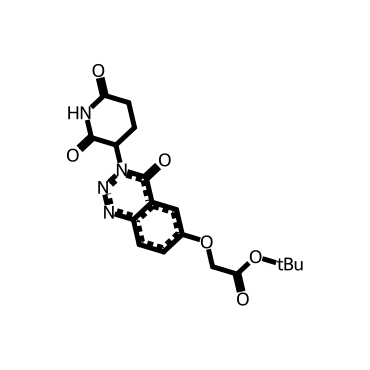 CC(C)(C)OC(=O)COc1ccc2nnn(C3CCC(=O)NC3=O)c(=O)c2c1